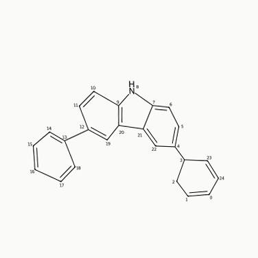 C1=CCC(c2ccc3[nH]c4ccc(-c5ccccc5)cc4c3c2)C=C1